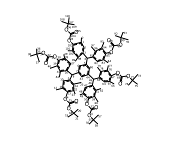 Cc1cc(C(c2cc(C(c3cc(C)c(OC(=O)OC(C)(C)C)c(C)c3C)c3cc(C)c(OC(=O)OC(C)(C)C)c(C)c3C)cc(C(c3cc(C)c(OC(=O)OC(C)(C)C)c(C)c3C)c3cc(C)c(OC(=O)OC(C)(C)C)c(C)c3C)c2)c2cc(C)c(OC(=O)OC(C)(C)C)c(C)c2C)c(C)c(C)c1OC(=O)OC(C)(C)C